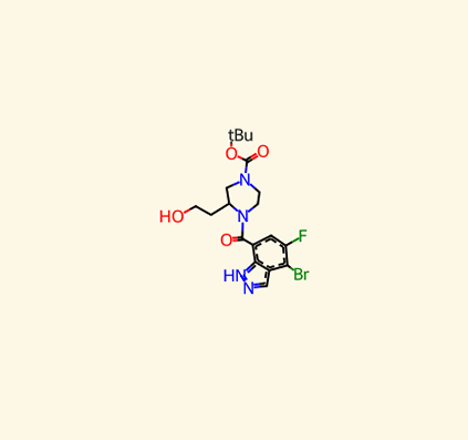 CC(C)(C)OC(=O)N1CCN(C(=O)c2cc(F)c(Br)c3cn[nH]c23)C(CCO)C1